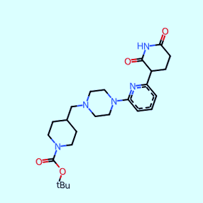 CC(C)(C)OC(=O)N1CCC(CN2CCN(c3cccc(C4CCC(=O)NC4=O)n3)CC2)CC1